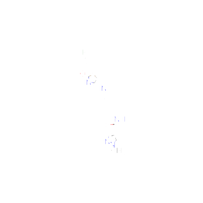 Cn1cc(CC(=O)N[C@H]2CC[C@H](CCN3CCc4sc(OC5CCC(F)(F)C5)nc4C3)CC2)cn1